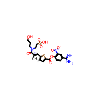 C/C(=C\c1ccc(C(=O)Oc2ccc(C(=N)N)cc2[N+](=O)[O-])s1)C(=O)N(CCCO)CCS(=O)(=O)O